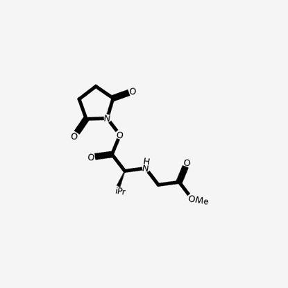 COC(=O)CN[C@H](C(=O)ON1C(=O)CCC1=O)C(C)C